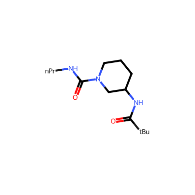 CCCNC(=O)N1CCCC(NC(=O)C(C)(C)C)C1